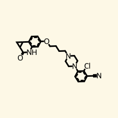 N#Cc1cccc(N2CCN(CCCCOc3ccc4c(c3)NC(=O)C3CC43)CC2)c1Cl